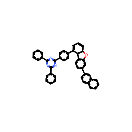 C1=CC2Oc3cc(-c4ccc5ccccc5c4)ccc3C2C(c2ccc(-c3nc(-c4ccccc4)nc(-c4ccccc4)n3)cc2)=C1